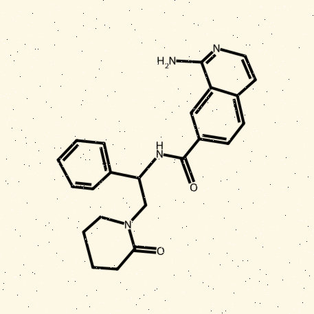 Nc1nccc2ccc(C(=O)NC(CN3CCCCC3=O)c3ccccc3)cc12